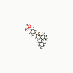 COC(=O)c1ccc(C(CC=Cc2ccccc2)Sc2ccc(F)cc2)cc1